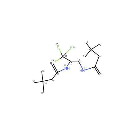 C=C(CC(C)(C)C)NCC(NC(=C)CC(C)(C)C)C(F)(F)F